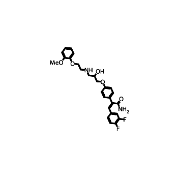 COc1ccccc1OCCNCC(O)COc1ccc(C(=Cc2ccc(F)c(F)c2)C(N)=O)cc1